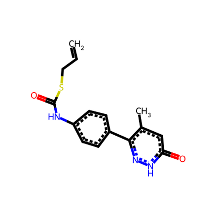 C=CCSC(=O)Nc1ccc(-c2n[nH]c(=O)cc2C)cc1